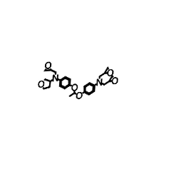 CC(Oc1ccc(N(CC2CO2)CC2CO2)cc1)Oc1ccc(N(CC2CO2)C2CCOC2)cc1